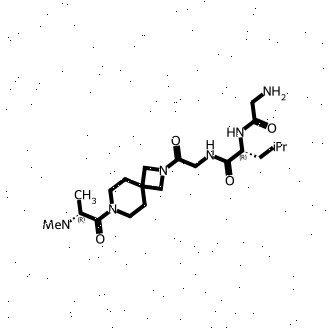 CN[C@H](C)C(=O)N1CCC2(CC1)CN(C(=O)CNC(=O)[C@@H](CC(C)C)NC(=O)CN)C2